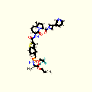 CCCOC(=O)[C@H](C)NP(=O)(Cc1ccc2sc(C(=O)N[C@H]3CCC[C@H]4CC[C@@H](C(=O)N5CC(c6cccnc6)C5)N4C3=O)cc2c1)OCC(F)(F)F